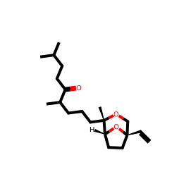 C=C[C@@]12CC[C@@H](O1)[C@](C)(CCCC(C)C(=O)CCC(C)C)OC2